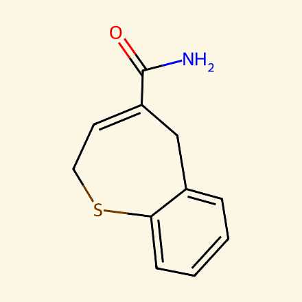 NC(=O)C1=CCSc2ccccc2C1